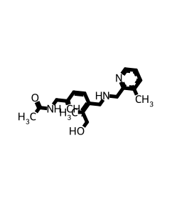 C=C(/C=C\C(CNCc1ncccc1C)=C(/C)CO)CNC(C)=O